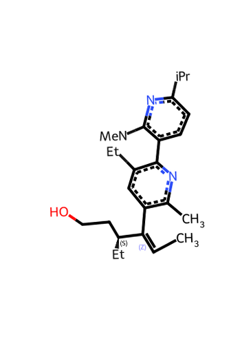 C/C=C(\c1cc(CC)c(-c2ccc(C(C)C)nc2NC)nc1C)[C@@H](CC)CCO